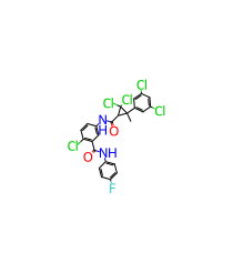 CC1(c2cc(Cl)cc(Cl)c2)C(C(=O)Nc2ccc(Cl)c(C(=O)Nc3ccc(F)cc3)c2)C1(Cl)Cl